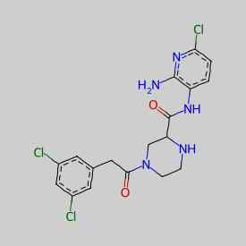 Nc1nc(Cl)ccc1NC(=O)C1CN(C(=O)Cc2cc(Cl)cc(Cl)c2)CCN1